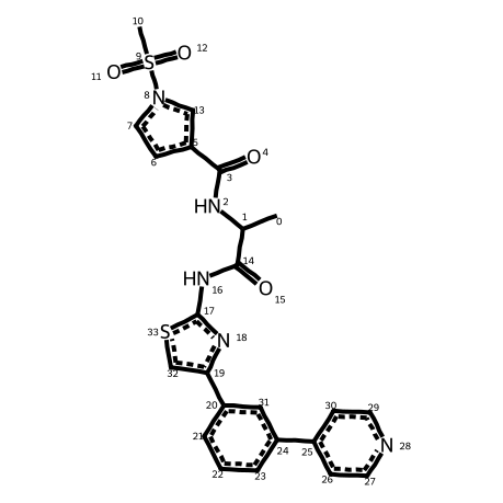 CC(NC(=O)c1ccn(S(C)(=O)=O)c1)C(=O)Nc1nc(-c2cccc(-c3ccncc3)c2)cs1